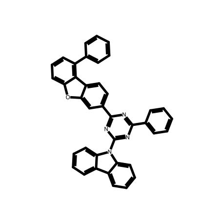 c1ccc(-c2nc(-c3ccc4c(c3)oc3cccc(-c5ccccc5)c34)nc(-n3c4ccccc4c4ccccc43)n2)cc1